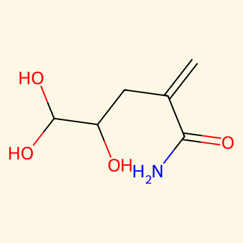 C=C(CC(O)C(O)O)C(N)=O